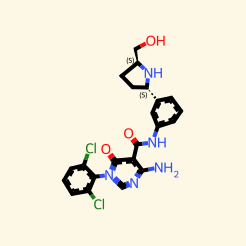 Nc1ncn(-c2c(Cl)cccc2Cl)c(=O)c1C(=O)Nc1cccc([C@@H]2CC[C@@H](CO)N2)c1